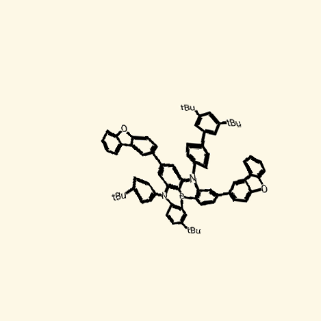 CC(C)(C)c1ccc(N2c3ccc(C(C)(C)C)cc3B3c4ccc(-c5ccc6oc7ccccc7c6c5)cc4N(c4ccc(-c5cc(C(C)(C)C)cc(C(C)(C)C)c5)cc4)c4cc(-c5ccc6oc7ccccc7c6c5)cc2c43)cc1